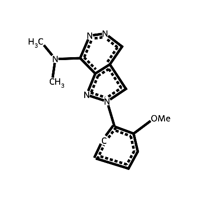 COc1ccccc1-n1cc2cnnc(N(C)C)c2n1